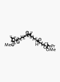 CCCC(Cl)C(OC)OCCCCC(=O)NCCCCC(C)C(=O)NCCCCCC(=O)N1CC(C)C[C@H]1COC